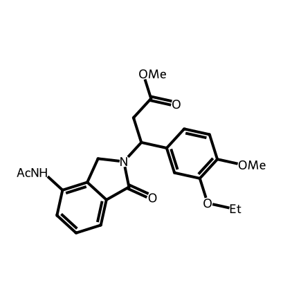 CCOc1cc(C(CC(=O)OC)N2Cc3c(NC(C)=O)cccc3C2=O)ccc1OC